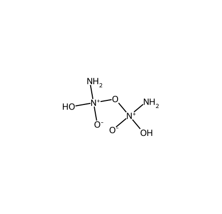 N[N+]([O-])(O)O[N+](N)([O-])O